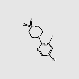 O=S1(=O)CCN(c2ncc(Br)cc2F)CC1